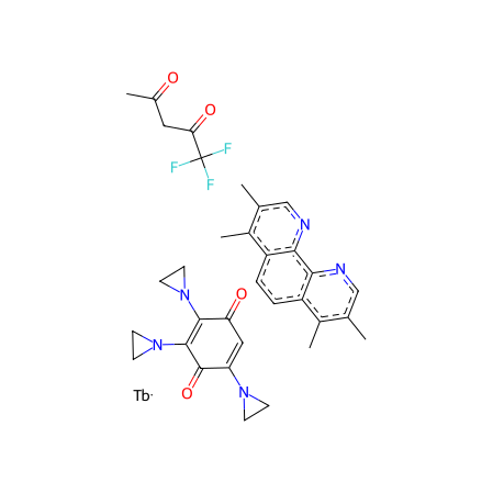 CC(=O)CC(=O)C(F)(F)F.Cc1cnc2c(ccc3c(C)c(C)cnc32)c1C.O=C1C=C(N2CC2)C(=O)C(N2CC2)=C1N1CC1.[Tb]